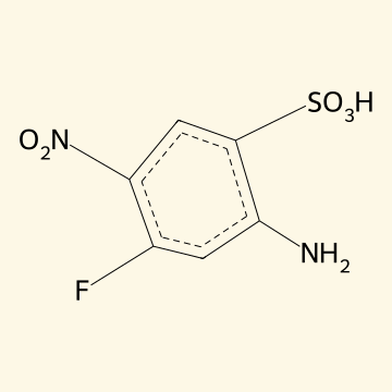 Nc1cc(F)c([N+](=O)[O-])cc1S(=O)(=O)O